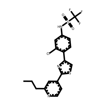 CCCc1cc(-c2nc(-c3ccc(NS(=O)(=O)C(F)(F)F)cc3Cl)cs2)ccn1